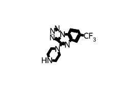 FC(F)(F)c1ccc2c(c1)nc(N1CCNCC1)c1nnnn12